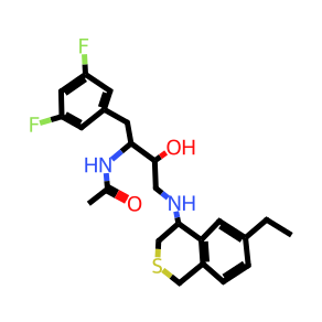 CCc1ccc2c(c1)C(NCC(O)C(Cc1cc(F)cc(F)c1)NC(C)=O)CSC2